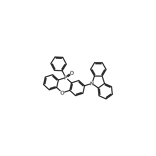 O=P1(c2ccccc2)c2ccccc2Oc2ccc(-n3c4ccccc4c4ccccc43)cc21